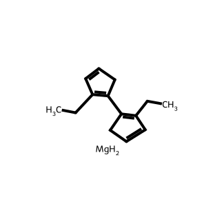 CCC1=C(C2=C(CC)C=CC2)CC=C1.[MgH2]